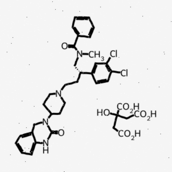 CN(C[C@@H](CCN1CCC(N2Cc3ccccc3NC2=O)CC1)c1ccc(Cl)c(Cl)c1)C(=O)c1ccccc1.O=C(O)CC(O)(CC(=O)O)C(=O)O